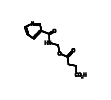 O=C(O)CCC(=O)OCNC(=O)c1cccnc1